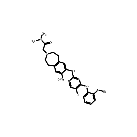 CCOc1ccccc1Nc1nc(Nc2cc3c(cc2OC)CCN(CC(=O)N(C)C)CC3)ncc1Cl